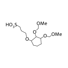 COCOC1CCCC(OCCCS(=O)(=O)O)C1OCOC